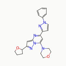 c1ccc(-n2ccc(-c3cc(N4CCOCC4)n4nc(C5CCCO5)cc4n3)n2)cc1